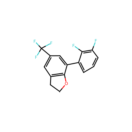 Fc1cccc(-c2cc(C(F)(F)F)cc3c2O[CH]C3)c1F